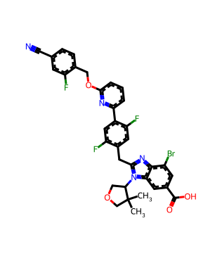 CC1(C)COCC1n1c(Cc2cc(F)c(-c3cccc(OCc4ccc(C#N)cc4F)n3)cc2F)nc2c(Br)cc(C(=O)O)cc21